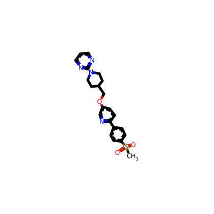 CS(=O)(=O)c1ccc(-c2ccc(OCC3CCN(c4ncccn4)CC3)cn2)cc1